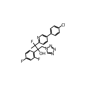 CC(F)(c1ccc(-c2ccc(Cl)cc2)cn1)C(O)(Cn1cnnn1)c1ccc(F)cc1F